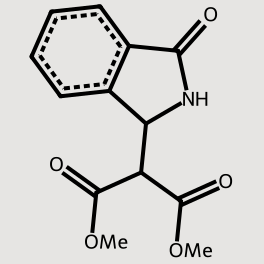 COC(=O)C(C(=O)OC)C1NC(=O)c2ccccc21